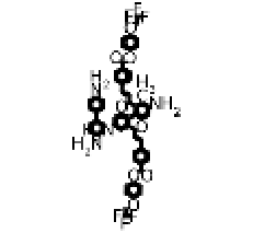 Cc1c(N)ccc(-c2ccc(N)cc2C(=O)C=Cc2ccc(C(=O)Oc3ccc(OCC(F)(F)F)cc3)cc2)c1C(=O)C=Cc1ccc(C(=O)Oc2ccc(OCC(F)(F)F)cc2)cc1.Nc1ccc(-c2ccc(N)cc2)cc1